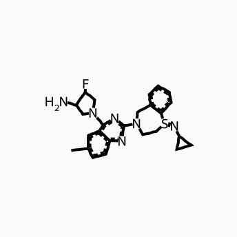 Cc1ccc2nc(N3CCS(=NC4CC4)c4ccccc4C3)nc(N3CC(N)C(F)C3)c2c1